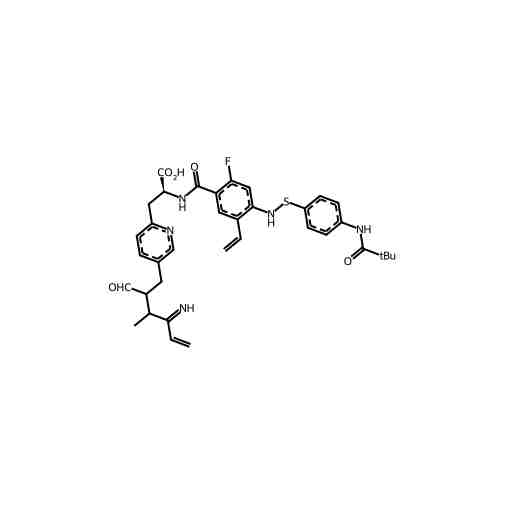 C=CC(=N)C(C)C(C=O)Cc1ccc(C[C@H](NC(=O)c2cc(C=C)c(NSc3ccc(NC(=O)C(C)(C)C)cc3)cc2F)C(=O)O)nc1